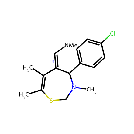 CN/C=C1/C(C)=C(C)SCN(C)C1c1ccc(Cl)cc1